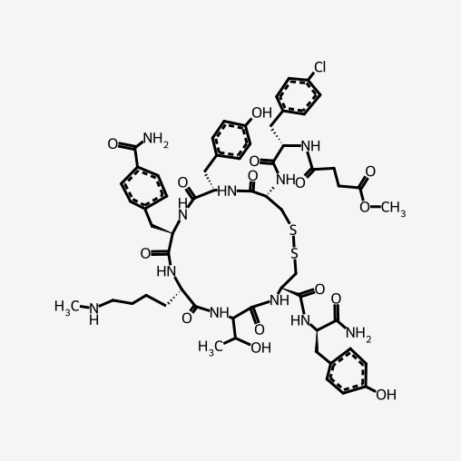 CNCCCC[C@@H]1NC(=O)[C@@H](Cc2ccc(C(N)=O)cc2)NC(=O)[C@H](Cc2ccc(O)cc2)NC(=O)[C@H](NC(=O)[C@H](Cc2ccc(Cl)cc2)NC(=O)CCC(=O)OC)CSSC[C@@H](C(=O)N[C@H](Cc2ccc(O)cc2)C(N)=O)NC(=O)C(C(C)O)NC1=O